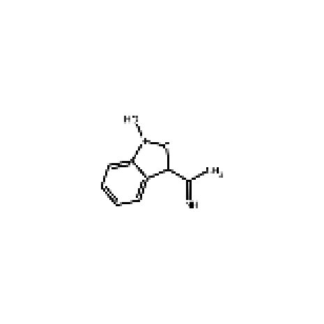 CC(=N)C1OB(O)c2ccccc21